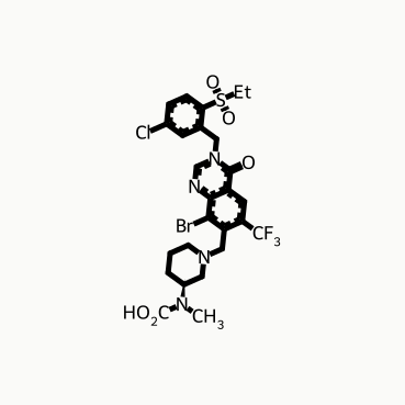 CCS(=O)(=O)c1ccc(Cl)cc1Cn1cnc2c(Br)c(CN3CCC[C@H](N(C)C(=O)O)C3)c(C(F)(F)F)cc2c1=O